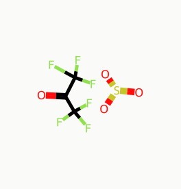 O=C(C(F)(F)F)C(F)(F)F.O=S(=O)=O